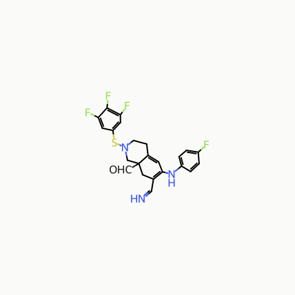 N=CC1=C(Nc2ccc(F)cc2)C=C2CCN(Sc3cc(F)c(F)c(F)c3)CC2(C=O)C1